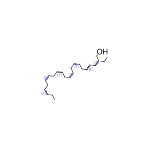 CC/C=C\C/C=C\C/C=C\C/C=C\C/C=C\C/C=C/C=C(/CC)CO